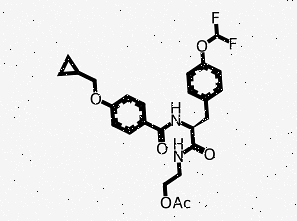 CC(=O)OCCNC(=O)[C@H](Cc1ccc(OC(F)F)cc1)NC(=O)c1ccc(OCC2CC2)cc1